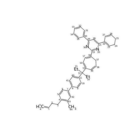 C=CCCc1ccc(-c2ccc(C(CC)(CC)C3=CC=C(c4nc(C5=CCCC=C5)cc(-c5ccccc5)n4)CC=C3)cc2)cc1C